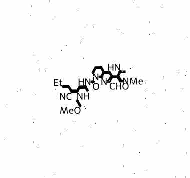 CC/C=C/C(C#N)=C(\C=C(/C)NC(=O)N1CCCc2cc(/C(=C/NC)C(C)=N)c(C=O)nc21)NCCOC